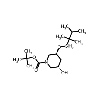 CC(C)C(C)(C)[SiH2]O[C@H]1C[C@H](O)CN(C(=O)OC(C)(C)C)C1